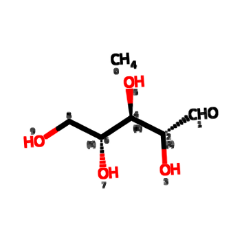 C.O=C[C@H](O)[C@H](O)[C@H](O)CO